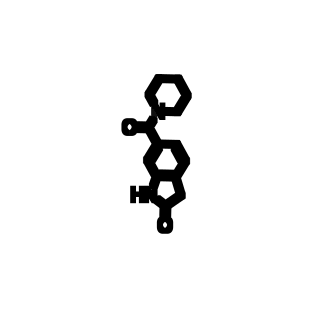 O=C1Cc2ccc(C(=O)N3CCCCC3)cc2N1